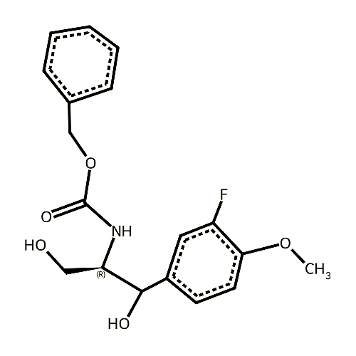 COc1ccc(C(O)[C@@H](CO)NC(=O)OCc2ccccc2)cc1F